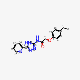 CCc1ccc(OCC(=O)Nc2nnc(-c3ccccn3)[nH]2)cc1